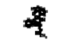 CNCCCC(NC(=O)c1cccc2c1C(=O)NC2)c1nc2ccccc2[nH]1